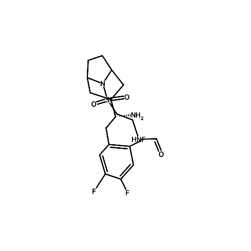 N[C@H](Cc1cc(F)c(F)cc1F)C1CC2CCC(C1)N2S(=O)(=O)CCNC=O